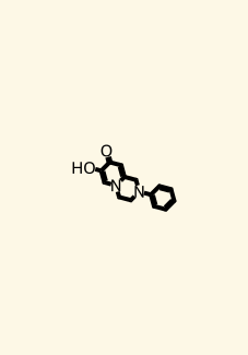 O=c1cc2n(cc1O)CCN(c1ccccc1)C2